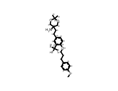 CSc1ccc(CCCOc2ccc(CCC3(N)COC(C)(C)OC3)cc2C(F)(F)F)cc1